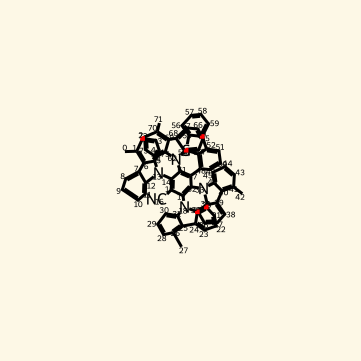 Cc1cccc2c1c1ccccc1n2-c1c(C#N)c(-n2c3ccccc3c3c(C)cccc32)c(-n2c3ccccc3c3c(C)cccc32)c(-c2cccc3c2sc2ccccc23)c1-n1c2ccccc2c2c(C)cccc21